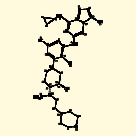 N#Cc1cc(Nc2nc(NC3CC3)c3ncc(C#N)n3n2)c(Cl)c(N2CC[C@@H](N(CCN3CCOCC3)C(=O)O)[C@H](O)C2)c1